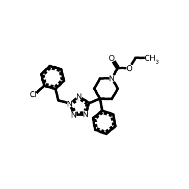 CCOC(=O)N1CCC(c2ccccc2)(c2nnn(Cc3ccccc3Cl)n2)CC1